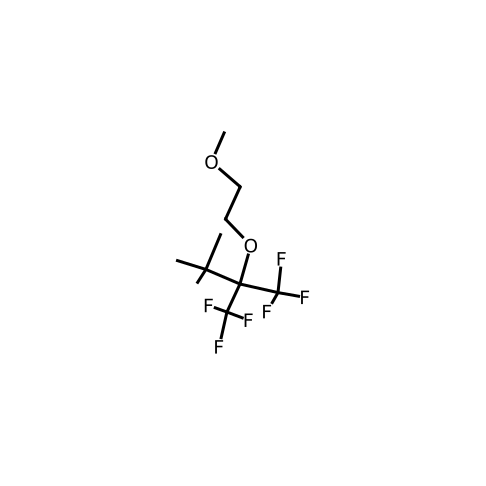 COCCOC(C(C)(C)C)(C(F)(F)F)C(F)(F)F